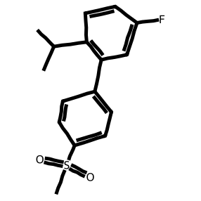 CC(C)c1ccc(F)cc1-c1ccc(S(C)(=O)=O)cc1